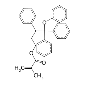 C=C(C)C(=O)OCCC(c1ccccc1)C(Oc1ccccc1)(c1ccccc1)c1ccccc1